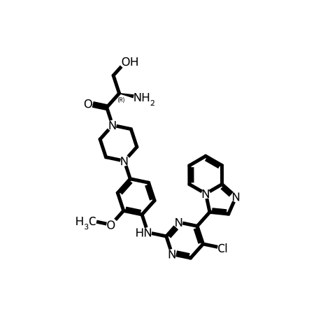 COc1cc(N2CCN(C(=O)[C@H](N)CO)CC2)ccc1Nc1ncc(Cl)c(-c2cnc3ccccn23)n1